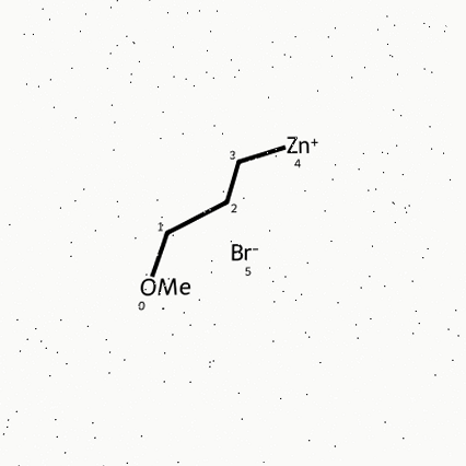 COCC[CH2][Zn+].[Br-]